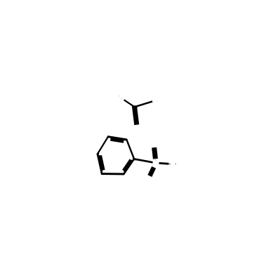 NC(N)=O.O=S(=O)(O)c1ccccc1